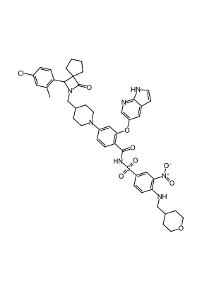 Cc1cc(Cl)ccc1C1N(CC2CCN(c3ccc(C(=O)NS(=O)(=O)c4ccc(NCC5CCOCC5)c([N+](=O)[O-])c4)c(Oc4cnc5[nH]ccc5c4)c3)CC2)C(=O)C12CCCC2